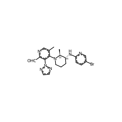 Cc1cnc(C=O)c(-n2nccn2)c1N1CCC[C@@H](Nc2ccc(Br)cn2)[C@@H]1C